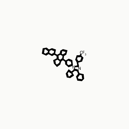 FC(F)(F)c1ccc(-c2nc(-c3ccccc3)c(-c3ccccc3)n2-c2ccc(-c3c4ccccc4c(-c4ccc5ccccc5c4)c4ccccc34)cc2)cc1